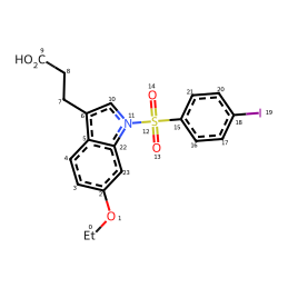 CCOc1ccc2c(CCC(=O)O)cn(S(=O)(=O)c3ccc(I)cc3)c2c1